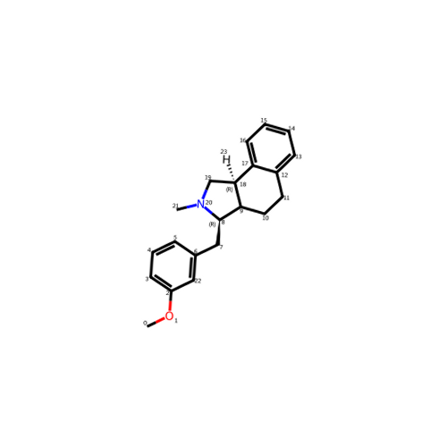 COc1cccc(C[C@@H]2C3CCc4ccccc4[C@@H]3CN2C)c1